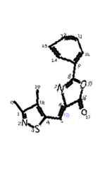 Cc1nsc(/C=C2\N=C(c3ccccc3)OC2=O)c1C